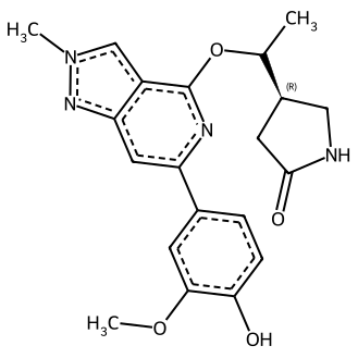 COc1cc(-c2cc3nn(C)cc3c(OC(C)[C@H]3CNC(=O)C3)n2)ccc1O